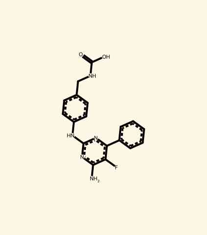 Nc1nc(Nc2ccc(CNC(=O)O)cc2)nc(-c2ccccc2)c1F